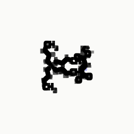 CCCC[N+](CCCC)(CCCC)CCCC.O=C([O-])/C=C/C(=O)[O-].[K+]